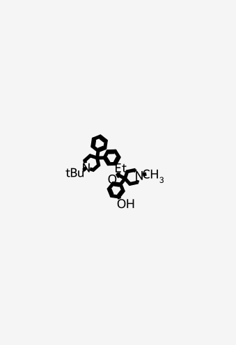 CC(C)(C)N1CCC(c2ccccc2)(c2ccccc2)CC1.CCC(=O)C1(c2cccc(O)c2)CCN(C)CC1